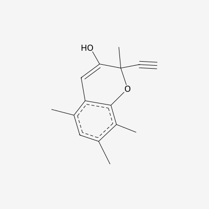 C#CC1(C)Oc2c(C)c(C)cc(C)c2C=C1O